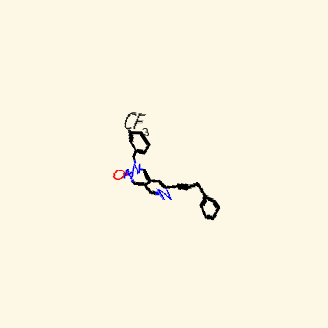 O=[n+]1cc2cnc(C#CCc3ccccc3)cc2cn1Cc1cccc(C(F)(F)F)c1